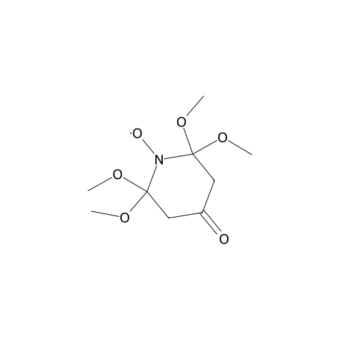 COC1(OC)CC(=O)CC(OC)(OC)N1[O]